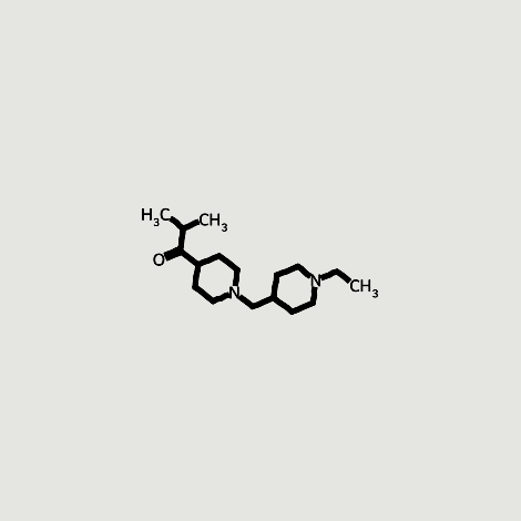 CCN1CCC(CN2CCC(C(=O)C(C)C)CC2)CC1